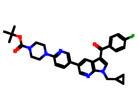 CC(C)(C)OC(=O)N1CCN(c2ccc(-c3cnc4c(c3)c(C(=O)c3ccc(F)cc3)cn4CC3CC3)cn2)CC1